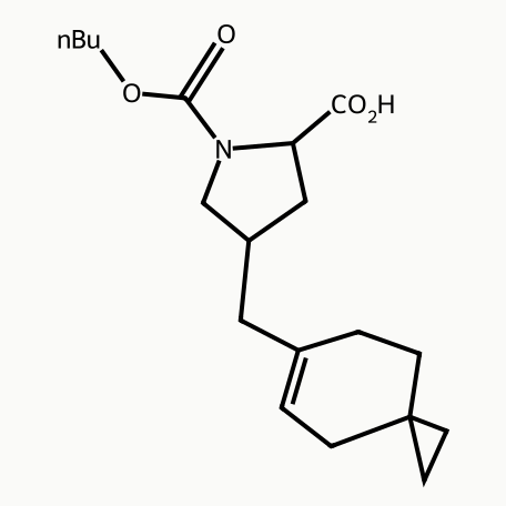 CCCCOC(=O)N1CC(CC2=CCC3(CC2)CC3)CC1C(=O)O